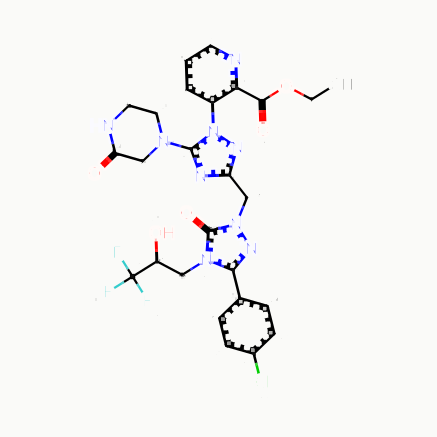 CCOC(=O)c1ncccc1-n1nc(Cn2nc(-c3ccc(Cl)cc3)n(CC(O)C(F)(F)F)c2=O)nc1N1CCNC(=O)C1